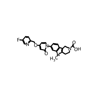 Cn1c2c(c3ccc(-n4ccc(OCc5ccc(F)cn5)cc4=O)cc31)CN(C(=O)O)CC2